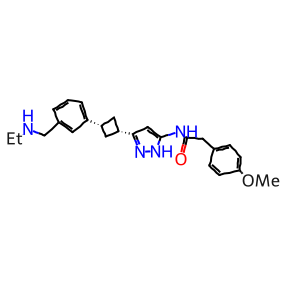 CCNCc1cccc([C@H]2C[C@@H](c3cc(NC(=O)Cc4ccc(OC)cc4)[nH]n3)C2)c1